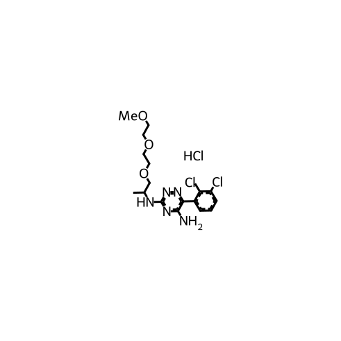 COCCOCCOCC(C)Nc1nnc(-c2cccc(Cl)c2Cl)c(N)n1.Cl